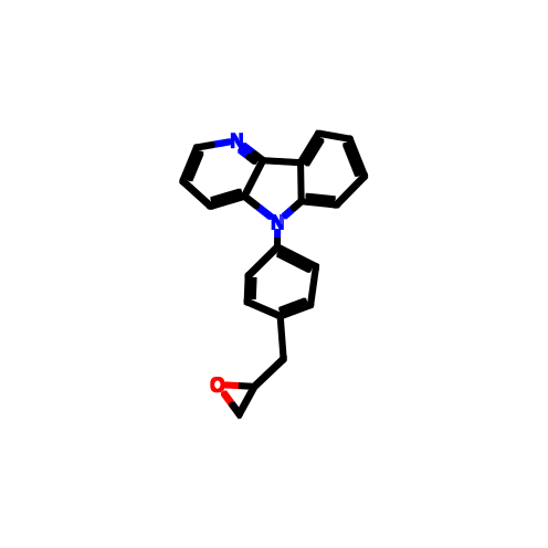 c1ccc2c(c1)c1ncccc1n2-c1ccc(CC2CO2)cc1